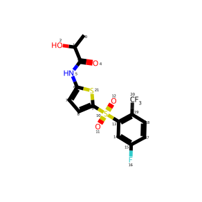 CC(O)C(=O)Nc1ccc(S(=O)(=O)c2cc(F)ccc2C(F)(F)F)s1